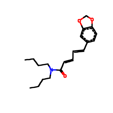 CCCCN(CCCC)C(=O)C=CC=Cc1ccc2c(c1)OCO2